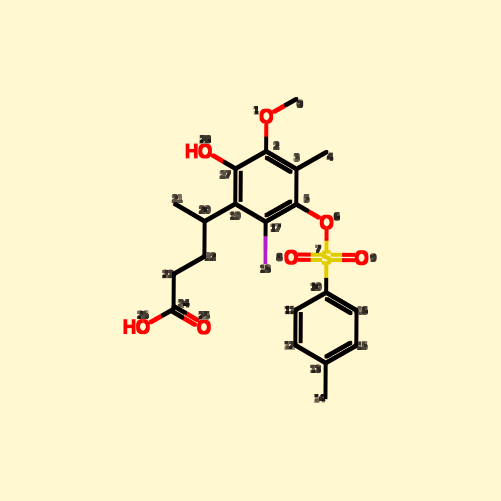 COc1c(C)c(OS(=O)(=O)c2ccc(C)cc2)c(I)c(C(C)CCC(=O)O)c1O